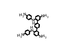 Nc1ccc(Nc2ccc(N)cc2-c2ccc(-c3cc(N)ccc3Nc3ccc(N)cc3)cc2)cc1